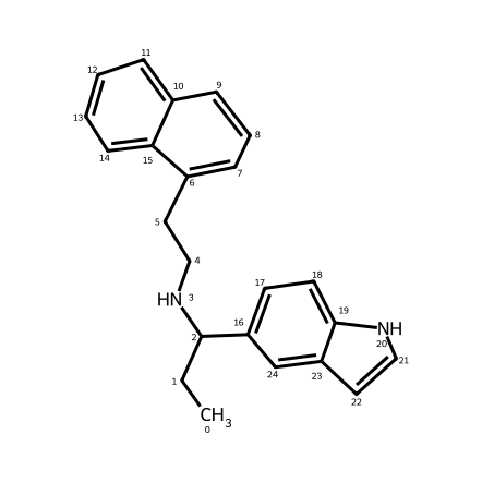 CCC(NCCc1cccc2ccccc12)c1ccc2[nH]ccc2c1